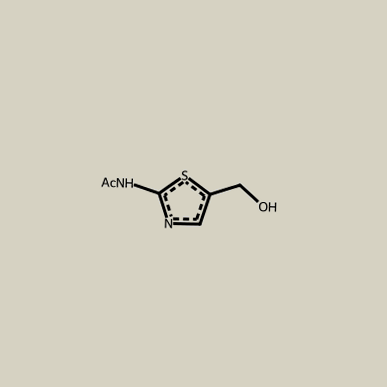 CC(=O)Nc1ncc(CO)s1